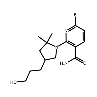 CC1(C)CC(CCCO)CN1c1nc(Br)ccc1C(N)=O